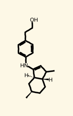 CC1C=C(Nc2ccc(CCO)cc2)[C@@H]2C[C@H](C)CC[C@@H]12